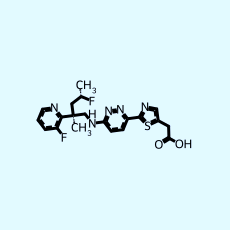 C[C@H](F)C[C@@](C)(CNc1ccc(-c2ncc(CC(=O)O)s2)nn1)c1ncccc1F